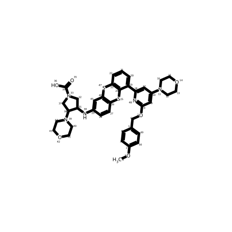 COc1ccc(COc2cc(N3CCOCC3)cc(-c3cccc4c3Sc3ccc(NC5CN(C(=O)O)CC5N5CCOCC5)cc3S4)n2)cc1